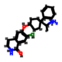 CC(N)[C@]1(c2ccccc2)CC[C@H](Oc2cc3cc[nH]c(=O)c3cc2Cl)CC1